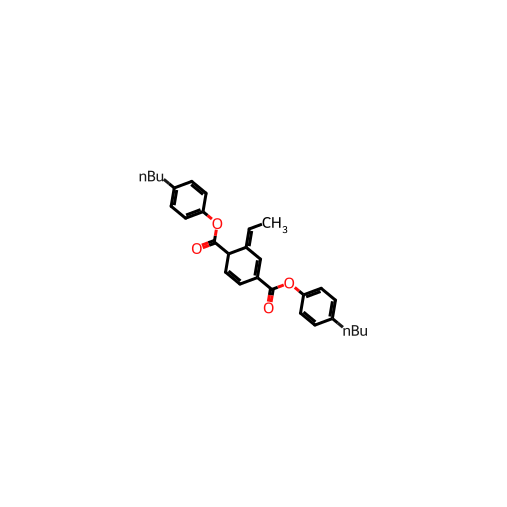 CC=C1C=C(C(=O)Oc2ccc(CCCC)cc2)C=CC1C(=O)Oc1ccc(CCCC)cc1